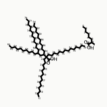 CCCCCCC(C)C(=O)O.CCCCCCCCCCCCCCC(CCCCCCCCCCCCCC)(C(=O)O)C(CCCCCCCCCCC)CC(CCCCCCCCCC)CCCCCCCCCCCC